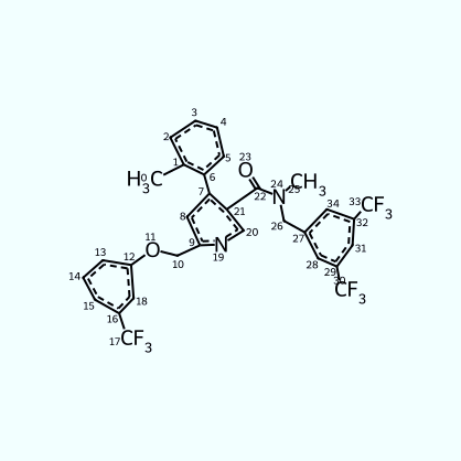 Cc1ccccc1-c1cc(COc2cccc(C(F)(F)F)c2)ncc1C(=O)N(C)Cc1cc(C(F)(F)F)cc(C(F)(F)F)c1